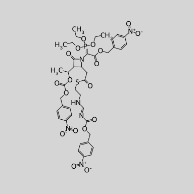 CCOP(OCC)(OCC)=C(C(=O)OCc1ccc([N+](=O)[O-])cc1)N1C(=O)C(C(C)OC(=O)OCc2ccc([N+](=O)[O-])cc2)C1CC(=O)SCCNC=NC(=O)OCc1ccc([N+](=O)[O-])cc1